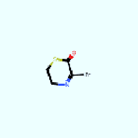 CC(C)C1=NCCSC1=O